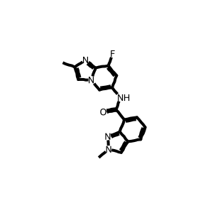 Cc1cn2cc(NC(=O)c3cccc4cn(C)nc34)cc(F)c2n1